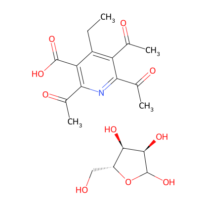 CCc1c(C(C)=O)c(C(C)=O)nc(C(C)=O)c1C(=O)O.OC[C@H]1OC(O)[C@H](O)[C@@H]1O